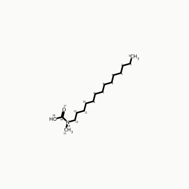 CCCCCCCCCCCCCCN(C)C(=O)O